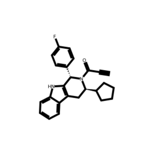 C#CC(=O)N1[C@@H](c2ccc(F)cc2)c2[nH]c3ccccc3c2C[C@@H]1C1CCCC1